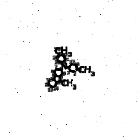 Cc1ccc(N(C2=CC=C3c4ccccc4C(C)C3C2)c2ccc(C)cc2)cc1